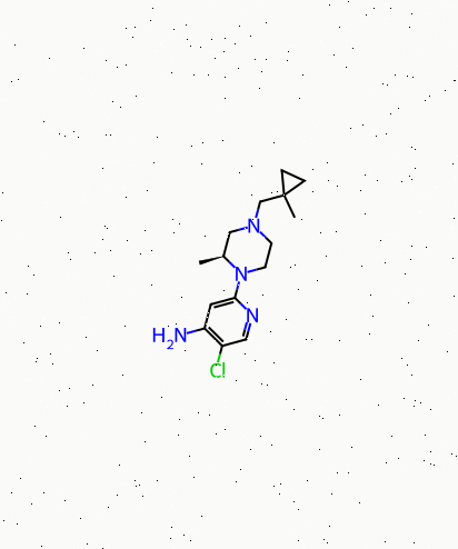 C[C@H]1CN(CC2(C)CC2)CCN1c1cc(N)c(Cl)cn1